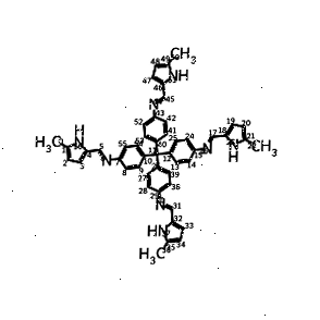 Cc1ccc(/C=N/c2ccc(C(c3ccc(/N=C/c4ccc(C)[nH]4)cc3)(c3ccc(/N=C/c4ccc(C)[nH]4)cc3)c3ccc(/N=C/c4ccc(C)[nH]4)cc3)cc2)[nH]1